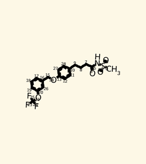 CS(=O)(=O)NC(=O)CCCc1ccc(OCc2cccc(OC(F)(F)F)c2)cc1